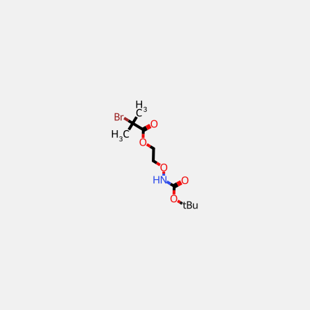 CC(C)(C)OC(=O)NOCCOC(=O)C(C)(C)Br